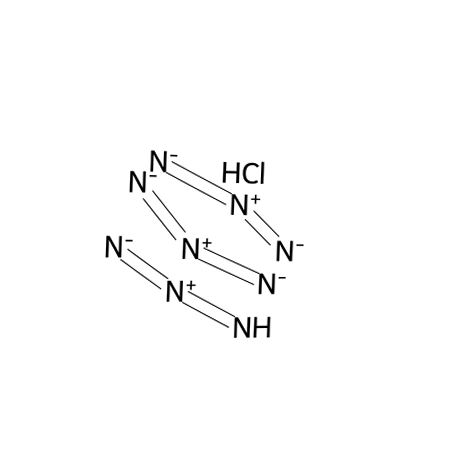 Cl.[N-]=[N+]=N.[N-]=[N+]=[N-].[N-]=[N+]=[N-]